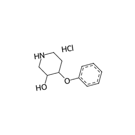 Cl.OC1CNCCC1Oc1ccccc1